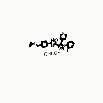 Fc1ccccc1-n1nnc(-c2nc(-c3ccc(CNC4CC4)cc3)no2)c1-c1ccncc1.O=CO